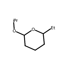 CCC1CCCC(OC(C)C)O1